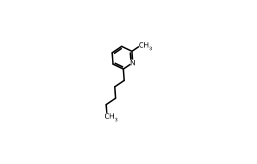 CCCCCc1cccc(C)n1